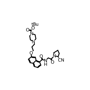 CC(C)(C)OC(=O)N1CCN(CCCOc2ccc3cccc(C(=O)NCC(=O)N4CCC[C@H]4C#N)c3c2)CC1